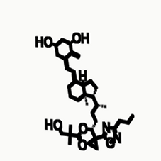 C=C1/C(=C\C=C2/CCC[C@]3(C)[C@@H]([C@H](C)CC[C@@H](OC(=O)C(C)(C)CO)C4(c5nc(CCC)no5)CC4)CC[C@@H]23)C[C@@H](O)C[C@@H]1O